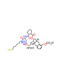 CCCCC[C@H](O)CC[C@@H]1[C@H]2Cc3cccc(COC(=O)O)c3C[C@H]2C[C@H]1OC(=O)C1CCCC[C@@H]1C(=O)NC(CN)C(=O)NCCCCCCS